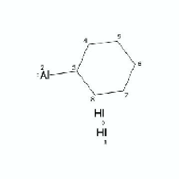 I.I.[Al][CH]1CCCCC1